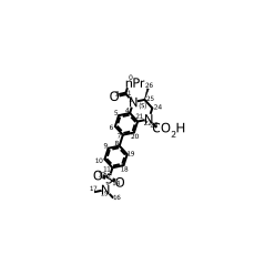 CCCC(=O)N1c2ccc(-c3ccc(S(=O)(=O)N(C)C)cc3)cc2N(C(=O)O)C[C@@H]1C